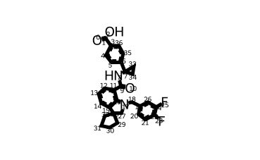 O=C(O)c1ccc(C2(NC(=O)c3cccc4c3N(Cc3ccc(F)c(F)c3)CC43CCCC3)CC2)cc1